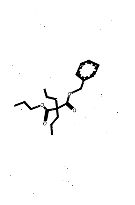 CCCOC(=O)C(CCC)(CCC)C(=O)OCc1ccccc1